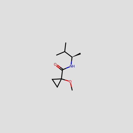 COC1(C(=O)N[C@H](C)C(C)C)CC1